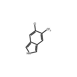 FC(F)(F)c1cc2c[nH]cc2cc1Cl